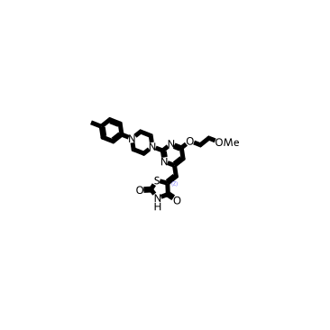 COCCOc1cc(/C=C2\SC(=O)NC2=O)nc(N2CCN(c3ccc(C)cc3)CC2)n1